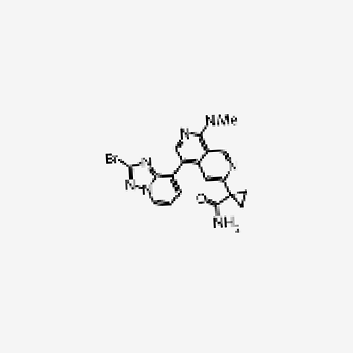 CNc1ncc(-c2cccn3nc(Br)nc23)c2cc(C3(C(N)=O)CC3)ncc12